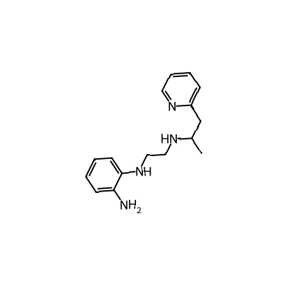 CC(Cc1ccccn1)NCCNc1ccccc1N